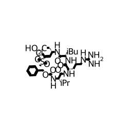 CCC(C)[C@H](NC(=O)[C@H](CCCNC(=N)N)NC(=O)[C@@H](NC(=O)OCc1ccccc1)C(C)C)C(=O)N[C@H](/C=C(\Cl)S(C)(=O)=O)CC(=O)O